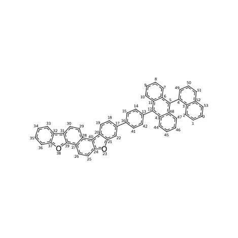 c1ccc2c(-c3c4ccccc4c(-c4ccc(-c5ccc6c(c5)oc5ccc7c(ccc8c9ccccc9oc87)c56)cc4)c4ccccc34)cccc2c1